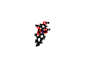 COc1cc(OC)c(C(=O)[P](=O)C(C)C(=O)c2c(C)cccc2C)c(OC)c1